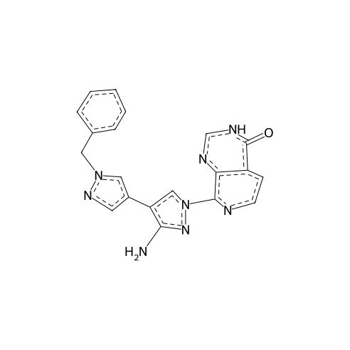 Nc1nn(-c2nccc3c(=O)[nH]cnc23)cc1-c1cnn(Cc2ccccc2)c1